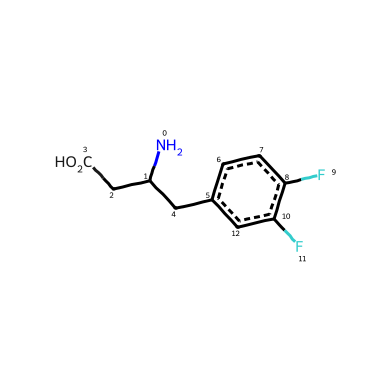 NC(CC(=O)O)Cc1ccc(F)c(F)c1